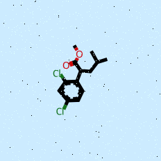 COC(=O)C(CC(C)C)c1ccc(Cl)cc1Cl